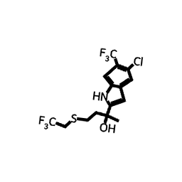 CC(O)(CCSCC(F)(F)F)c1cc2cc(Cl)c(C(F)(F)F)cc2[nH]1